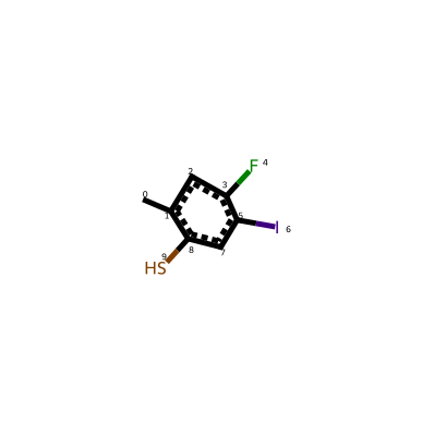 Cc1cc(F)c(I)cc1S